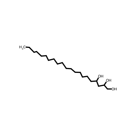 CCCCCCCCCCCCCCCCCC(O)CC(O)CO